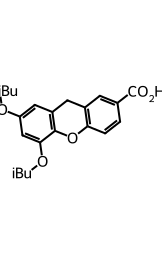 CCC(C)Oc1cc2c(c(OC(C)CC)c1)Oc1ccc(C(=O)O)cc1C2